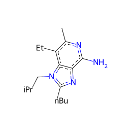 CCCCc1nc2c(N)nc(C)c(CC)c2n1CC(C)C